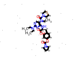 CCN(CC)c1ncc(N(CC)C(=O)N2CCSCC2)c(N[C@@H](Cc2ccc(OC(=O)N3CCCC3)cc2)C(=O)O)n1